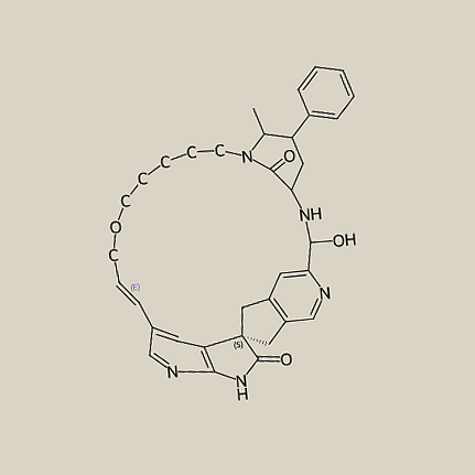 CC1C(c2ccccc2)CC2NC(O)c3cc4c(cn3)C[C@]3(C4)C(=O)Nc4ncc(cc43)/C=C/COCCCCCN1C2=O